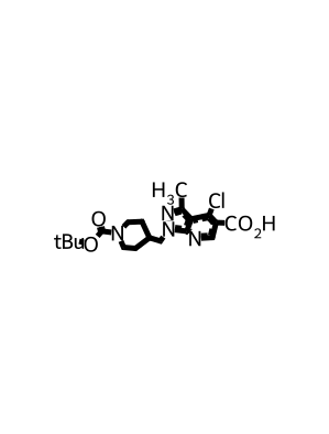 Cc1nn(CC2CCN(C(=O)OC(C)(C)C)CC2)c2ncc(C(=O)O)c(Cl)c12